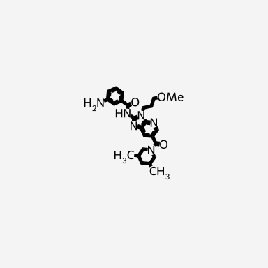 COCCCn1c(NC(=O)c2cccc(N)c2)nc2cc(C(=O)N3CC(C)CC(C)C3)cnc21